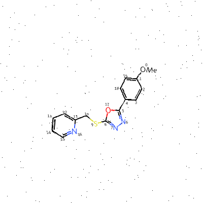 COc1ccc(-c2nnc(SCc3ccccn3)o2)cc1